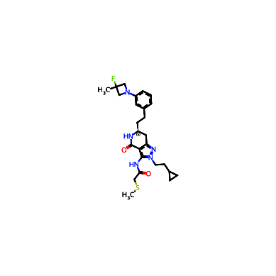 CSCC(=O)Nc1c2c(nn1CCC1CC1)C[C@H](CCc1cccc(N3CC(C)(F)C3)c1)NC2=O